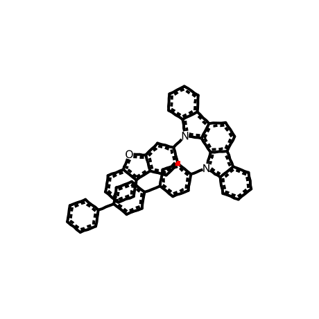 c1ccc(-c2ccc(-c3ccc(-n4c5ccccc5c5ccc6c7ccccc7n(-c7ccc8c(c7)oc7ccccc78)c6c54)cc3)cc2)cc1